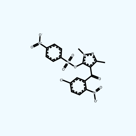 Cc1nn(C)c(OS(=O)(=O)c2ccc([N+](=O)[O-])cc2)c1C(=O)c1cc(Cl)ccc1[N+](=O)[O-]